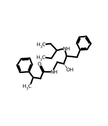 CCC(CC)NC(Cc1ccccc1)[C@H](O)CNC(=O)CC(C)c1ccccc1